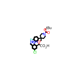 CC(C)(C)OC(=O)N1CCC(COC(C(=O)O)c2cc(Cl)cc3cn[nH]c23)(c2ccc(F)cc2)CC1